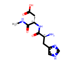 CNC(=O)[C@H](CC(=O)O)NC(=O)[C@@H](N)Cc1c[nH]cn1